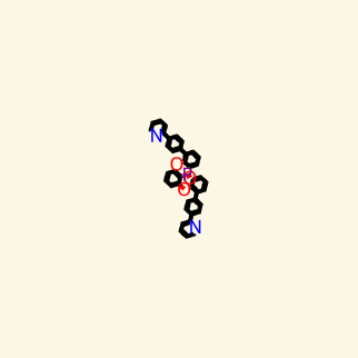 O=P12c3cccc(-c4ccc(-c5ccccn5)cc4)c3Oc3cccc(c31)Oc1c(-c3ccc(-c4ccccn4)cc3)cccc12